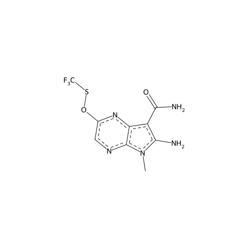 Cn1c(N)c(C(N)=O)c2nc(OSC(F)(F)F)cnc21